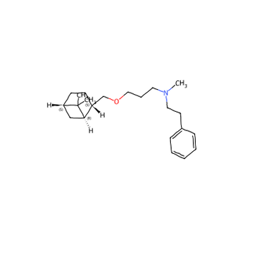 CN(CCCOC[C@H]1CC[C@H]2C[C@H]1C2(C)C)CCc1ccccc1